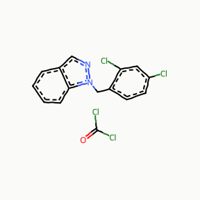 Clc1ccc(Cn2ncc3ccccc32)c(Cl)c1.O=C(Cl)Cl